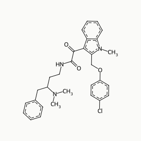 CN(C)C(CCNC(=O)C(=O)c1c(COc2ccc(Cl)cc2)n(C)c2ccccc12)Cc1ccccc1